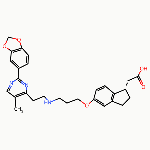 Cc1cnc(-c2ccc3c(c2)OCO3)nc1CCNCCCOc1ccc2c(c1)CC[C@H]2CC(=O)O